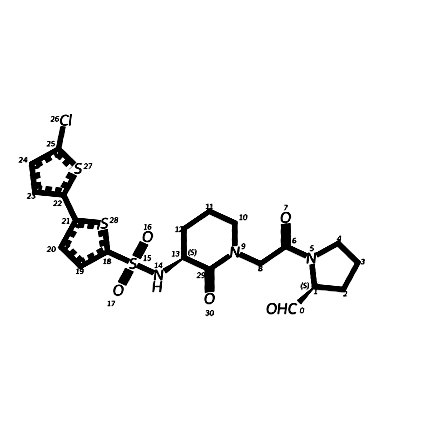 O=C[C@@H]1CCCN1C(=O)CN1CCC[C@H](NS(=O)(=O)c2ccc(-c3ccc(Cl)s3)s2)C1=O